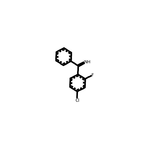 N=C(c1ccccc1)c1ccc(Cl)cc1F